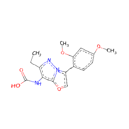 CCc1nn2c(-c3ccc(OC)cc3OC)coc2c1NC(=O)O